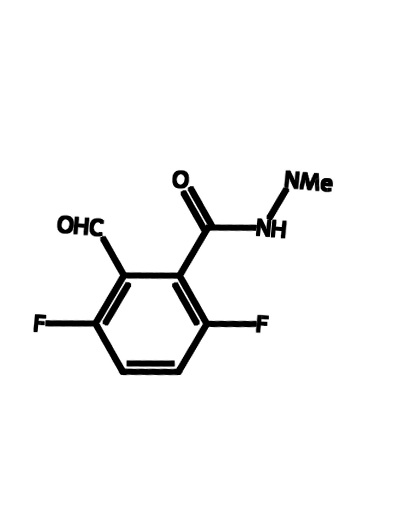 CNNC(=O)c1c(F)ccc(F)c1C=O